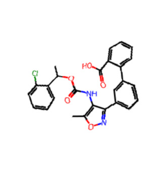 Cc1onc(-c2cccc(-c3ccccc3C(=O)O)c2)c1NC(=O)OC(C)c1ccccc1Cl